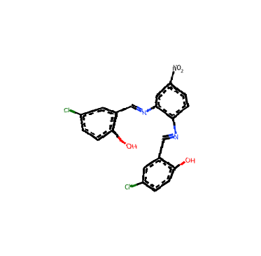 O=[N+]([O-])c1ccc(/N=C/c2cc(Cl)ccc2O)c(/N=C/c2cc(Cl)ccc2O)c1